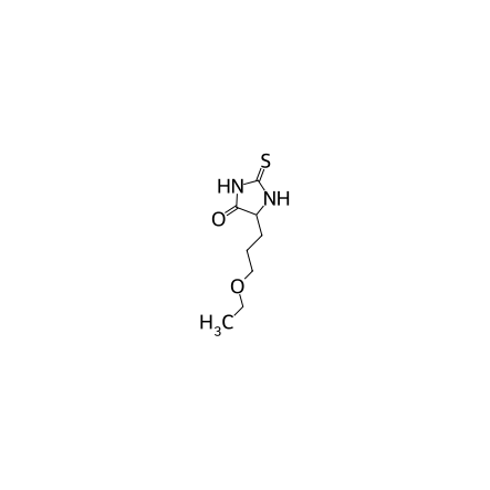 CCOCCCC1NC(=S)NC1=O